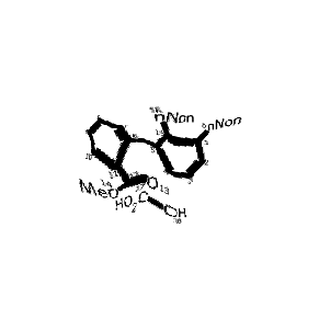 CCCCCCCCCc1cccc(-c2ccccc2C(=O)OC)c1CCCCCCCCC.O=C(O)O